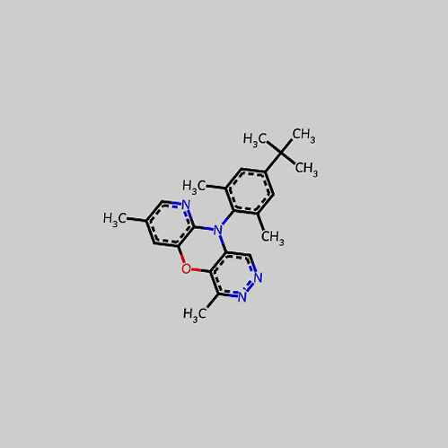 Cc1cnc2c(c1)Oc1c(cnnc1C)N2c1c(C)cc(C(C)(C)C)cc1C